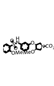 COc1ccccc1S(=O)(=O)Nc1cccc(O[C@@H]2CN(C(=O)O)C[C@H]2OC)c1